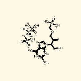 C=C(COCP(=O)(O)O)C(CO)n1cnc2c(=O)[nH]c(N)nc21.O=P(O)(O)OP(=O)(O)P(=O)(O)O